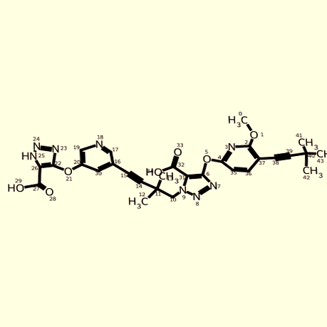 COc1nc(Oc2nnn(CC(C)(C)C#Cc3cncc(Oc4nn[nH]c4C(=O)O)c3)c2C(=O)O)ccc1C#CC(C)(C)C